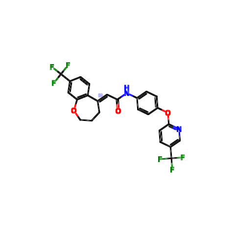 O=C(/C=C1\CCCOc2cc(C(F)(F)F)ccc21)Nc1ccc(Oc2ccc(C(F)(F)F)cn2)cc1